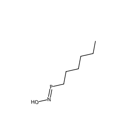 CCCCCCP=NO